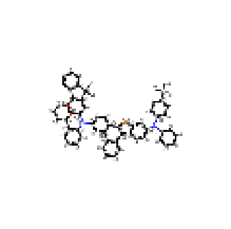 CC1(C)c2ccccc2-c2ccc(N(c3ccc4c(c3)c3ccccc3c3c5ccc(N(c6ccccc6)c6ccc([Si](C)(C)C)cc6)cc5sc43)c3ccccc3-c3ccccc3)cc21